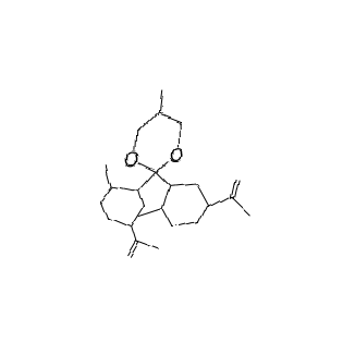 C=C(C)C1CCC(C)C(C2(C3CC(C(=C)C)CCC3C)OCC(C)CO2)C1